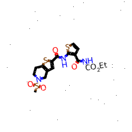 CCOC(=O)NC(=O)c1ccsc1NC(=O)c1cc2c(s1)CCN(S(C)(=O)=O)C2